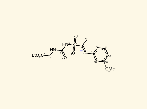 CCOC(=O)CNC(=O)NS(=O)(=O)/C(C)=C/c1cccc(OC)c1